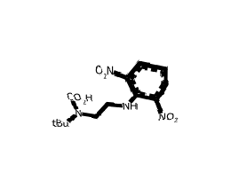 CC(C)(C)N(CCNc1c([N+](=O)[O-])cccc1[N+](=O)[O-])C(=O)O